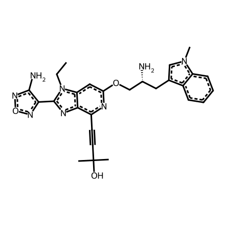 CCn1c(-c2nonc2N)nc2c(C#CC(C)(C)O)nc(OC[C@H](N)Cc3cn(C)c4ccccc34)cc21